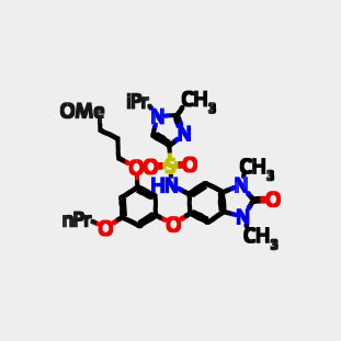 CCCOc1cc(OCCCOC)cc(Oc2cc3c(cc2NS(=O)(=O)c2cn(C(C)C)c(C)n2)n(C)c(=O)n3C)c1